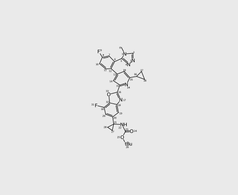 Cn1cnnc1-c1cc(F)ccc1-c1cc(-c2nc3cc(C4(NC(=O)OC(C)(C)C)CC4)cc(F)c3o2)nc(C2CC2)c1